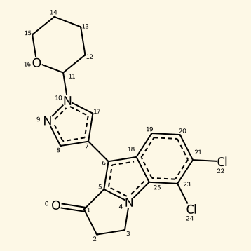 O=C1CCn2c1c(-c1cnn(C3CCCCO3)c1)c1ccc(Cl)c(Cl)c12